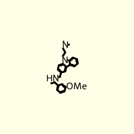 COc1cccc(C(C)NCc2ccc3c(c2)c2ccccc2n3CCCN(C)C)c1